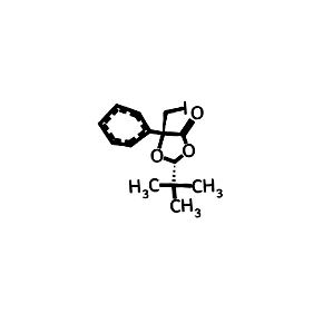 CC(C)(C)[C@H]1OC(=O)[C@@](CI)(c2ccccc2)O1